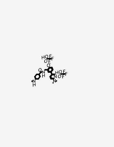 CNC1CCC(C(=O)NCc2cc(-c3ccc(N(C)C)nc3)ccc2OC)CC1.O=C(O)C(F)(F)F.O=C(O)C(F)(F)F